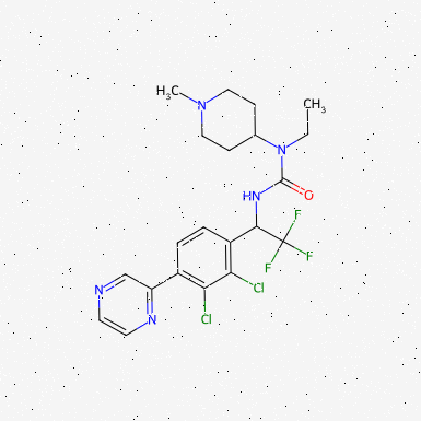 CCN(C(=O)NC(c1ccc(-c2cnccn2)c(Cl)c1Cl)C(F)(F)F)C1CCN(C)CC1